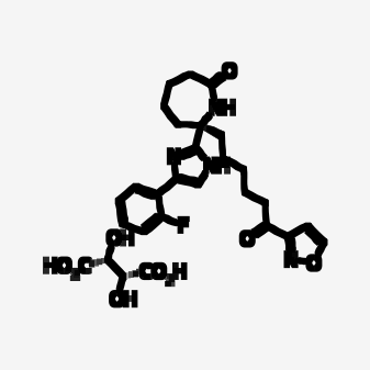 O=C(O)[C@H](O)[C@@H](O)C(=O)O.O=C1CCCC[C@@](CCCCCC(=O)c2ccon2)(c2nc(-c3ccccc3F)c[nH]2)N1